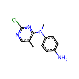 Cc1cnc(Cl)nc1N(C)c1ccc(N)cc1